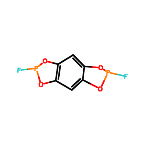 Fp1oc2cc3op(F)oc3cc2o1